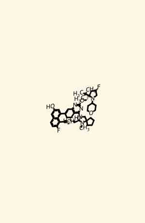 C#Cc1c(F)ccc2cc(O)cc(C3=Cc4nc(OC[C@]5(C(C)(C)C)C[C@@H](F)CN5C5CCOCC5)nc(NCC5(N(C)C(=O)C=C)CCCC5)c4CC3)c12